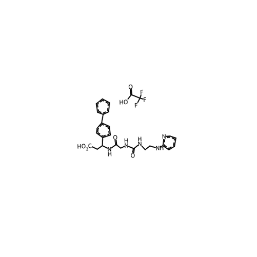 O=C(O)C(F)(F)F.O=C(O)CC(NC(=O)CNC(=O)NCCNc1ccccn1)c1ccc(-c2ccccc2)cc1